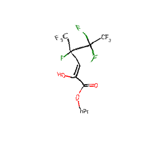 CCCOC(=O)C(O)=CC(F)(C(F)(F)F)C(F)(F)C(F)(F)F